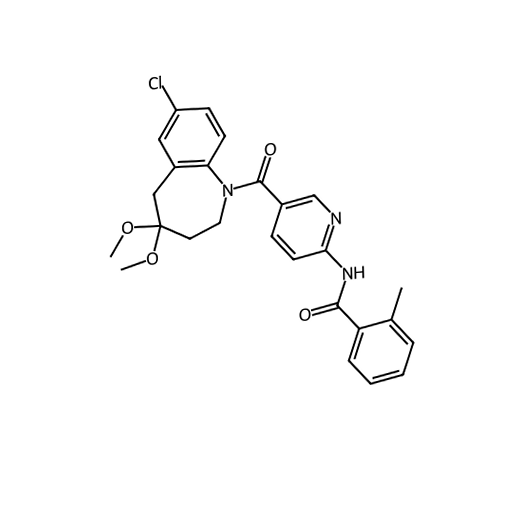 COC1(OC)CCN(C(=O)c2ccc(NC(=O)c3ccccc3C)nc2)c2ccc(Cl)cc2C1